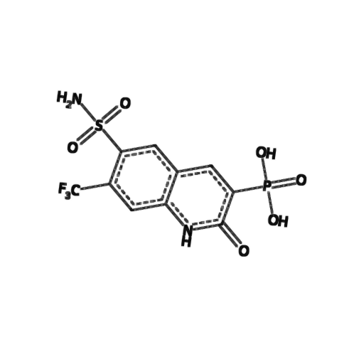 NS(=O)(=O)c1cc2cc(P(=O)(O)O)c(=O)[nH]c2cc1C(F)(F)F